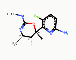 C[C@]1(c2nc(N)ccc2F)OC(NC(=O)O)=N[C@@H](C(F)(F)F)[C@H]1F